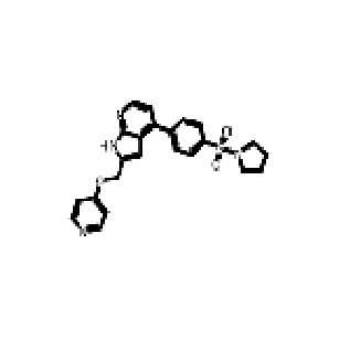 O=S(=O)(c1ccc(-c2ccnc3[nH]c(COc4ccncc4)cc23)cc1)N1CCCC1